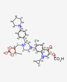 Cc1oc(=O)oc1CN1CCN(c2cc3c(cc2F)c(=O)c(OC(=O)O)cn3C2CC2)CC1c1ccc(N2CCCCC2)cc1